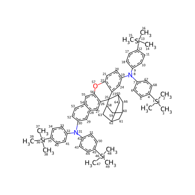 C[Si](C)(C)c1ccc(N(c2ccc([Si](C)(C)C)cc2)c2ccc3c(c2)C2(c4cc5cc(N(c6ccc([Si](C)(C)C)cc6)c6ccc([Si](C)(C)C)cc6)ccc5cc4O3)C3CC4CC(C3)CC2C4)cc1